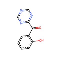 O=C(c1ncncn1)c1ccccc1O